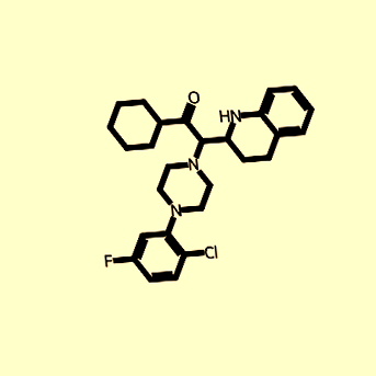 O=C(C1CCCCC1)C(C1CCc2ccccc2N1)N1CCN(c2cc(F)ccc2Cl)CC1